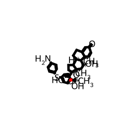 C[C@]12C=CC(=O)C=C1CC[C@@H]1C2[C@@H](O)C[C@@]2(C)C1CC[C@]2(O[C@@](C)(O)c1ccc(Sc2ccc(N)cc2)cc1)C(=O)CO